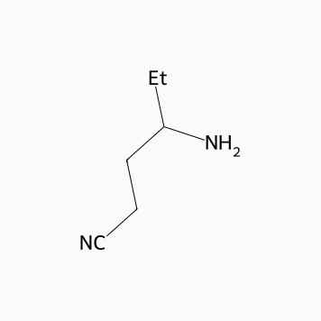 [CH2]CC(N)CCC#N